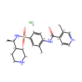 Cc1cc(S(=O)(=O)N[C@H](C)C2CCNCC2)ccc1NC(=O)c1ccncc1C.Cl